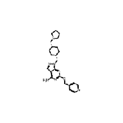 Nc1nc(OCc2ccncc2)nc2c1cnn2C[C@H]1CC[C@@H](CN2CCCC2)CC1